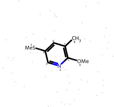 COc1ncc(SC)cc1C